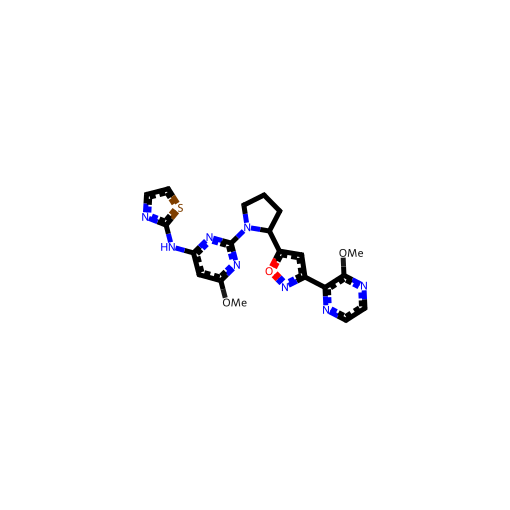 COc1cc(Nc2nccs2)nc(N2CCCC2c2cc(-c3nccnc3OC)no2)n1